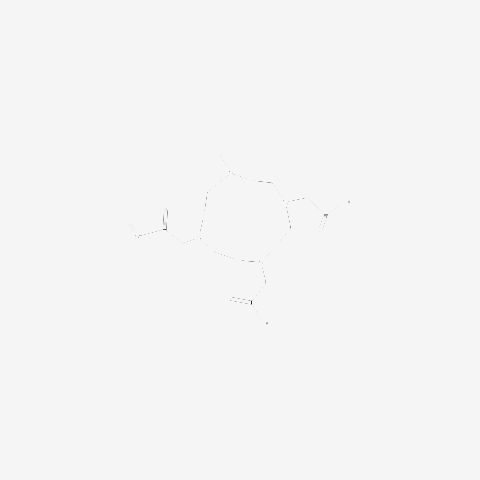 CN1CCN(CC(=O)O)CCN(CC(=O)O)CCN(CC(=O)N=O)CC1